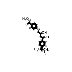 COC(=O)c1ccc(OCC(O)CC(O)c2ccc(C(C)(C)C)cc2)cc1